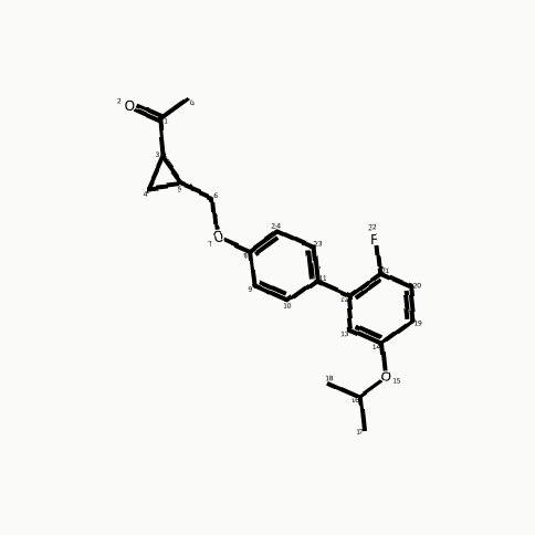 CC(=O)C1CC1COc1ccc(-c2cc(OC(C)C)ccc2F)cc1